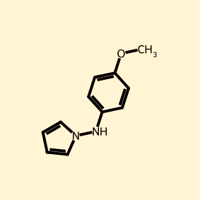 COc1ccc(Nn2cccc2)cc1